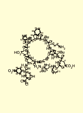 CC[C@@H](C)[C@H](N)C1=NC[C@H](C(=O)N[C@@H](CC(C)C)C(=O)N[C@H](CCC(=O)O)C(=O)N[C@H](C(=O)N[C@H]2CCCCNC(=O)[C@H](CC(N)=O)NC(=O)[C@@H](CC(=O)O)NC(=O)[C@H](Cc3cnc[nH]3)NC(=O)[C@@H](Cc3ccccc3)NC(=O)[C@H]([C@H](C)CC)NC(=O)[C@@H](CCCN)NC2=O)[C@H](C)CC)S1.O=C(N[C@H](CO)[C@H](O)c1ccc([N+](=O)[O-])cc1)C(Cl)Cl